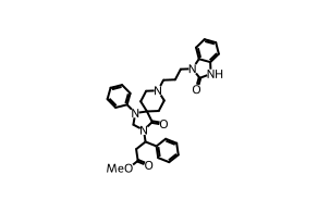 COC(=O)CC(c1ccccc1)N1CN(c2ccccc2)C2(CCN(CCCn3c(=O)[nH]c4ccccc43)CC2)C1=O